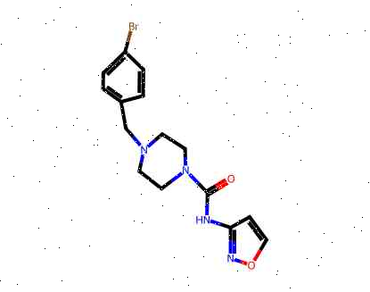 O=C(Nc1ccon1)N1CCN(Cc2ccc(Br)cc2)CC1